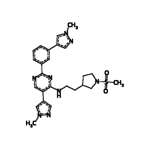 Cn1cc(-c2cccc(-c3ncc(-c4cnn(C)c4)c(NCCC4CCN(S(C)(=O)=O)C4)n3)c2)cn1